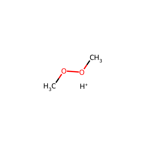 COOC.[H+]